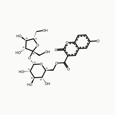 O=C(OC[C@@H]1O[C@@H](O[C@@]2(CO)O[C@@H](CO)[C@H](O)[C@H]2O)[C@@H](O)[C@H](O)[C@H]1O)c1cc2cc(Cl)ccc2oc1=O